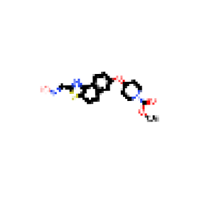 CC(C)(C)OC(=O)N1CCC(Oc2ccc3c(ccc4sc(/C=N/O)nc43)c2)CC1